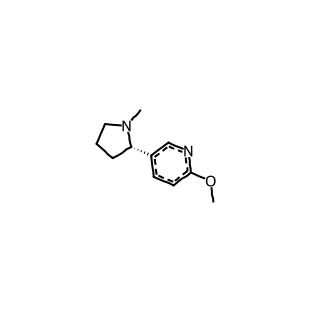 COc1ccc([C@@H]2CCCN2C)cn1